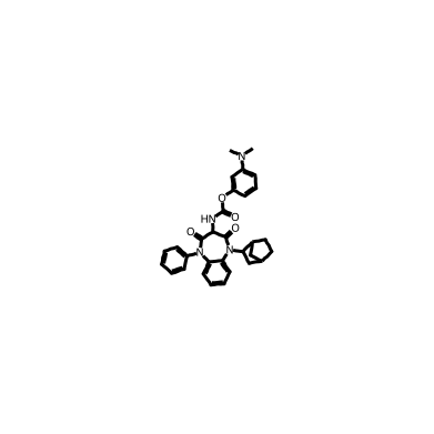 CN(C)c1cccc(OC(=O)NC2C(=O)N(c3ccccc3)c3ccccc3N(C3CC4CCC3C4)C2=O)c1